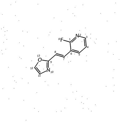 Fc1ncccc1C=Cc1ncco1